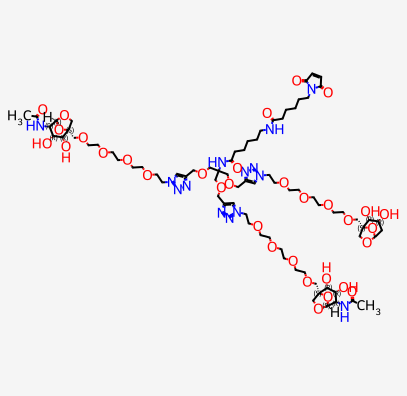 CC(=O)N[C@H]1[C@H]2OC[C@](COCCOCCOCCOCCn3cc(COCC(COCc4cn(CCOCCOCCOCCOC[C@@]56CO[C@@H](O5)[C@H](NC(C)=O)[C@@H](O)[C@H]6O)nn4)(COCc4cn(CCOCCOCCOCCOC[C@]56COC(C[C@@H](O)[C@H]5O)O6)nn4)NC(=O)CCCCCNC(=O)CCCCCN4C(=O)C=CC4=O)nn3)(O2)[C@H](O)[C@@H]1O